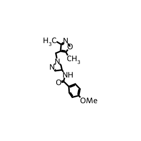 COc1ccc(C(=O)NC2C=NN(Cc3c(C)noc3C)C2)cc1